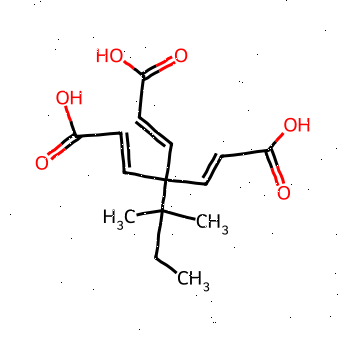 CCC(C)(C)C(C=CC(=O)O)(C=CC(=O)O)C=CC(=O)O